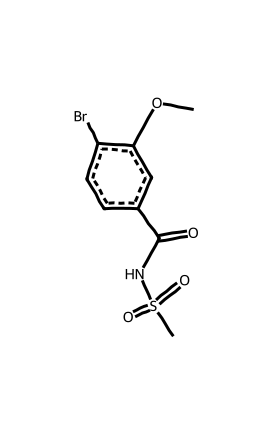 COc1cc(C(=O)NS(C)(=O)=O)ccc1Br